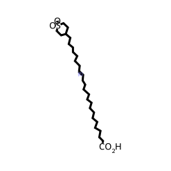 O=C(O)CCCCCCCCCCCCCC/C=C/CCCCCCCC1CCS(=O)(=O)CC1